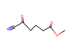 COC(=O)CCCC(=O)C#N